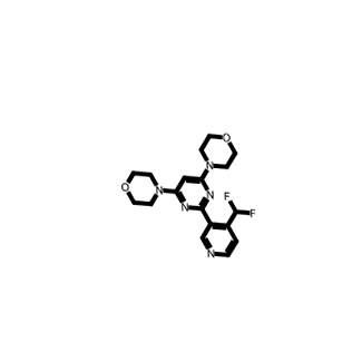 FC(F)c1ccncc1-c1nc(N2CCOCC2)cc(N2CCOCC2)n1